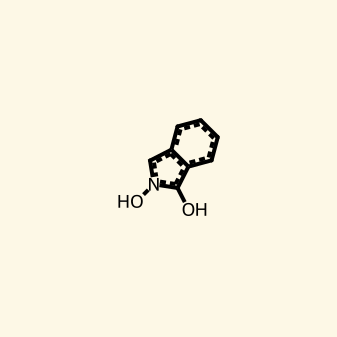 Oc1c2ccccc2cn1O